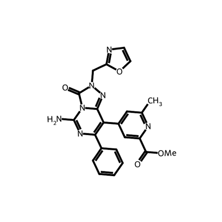 COC(=O)c1cc(-c2c(-c3ccccc3)nc(N)n3c(=O)n(Cc4ncco4)nc23)cc(C)n1